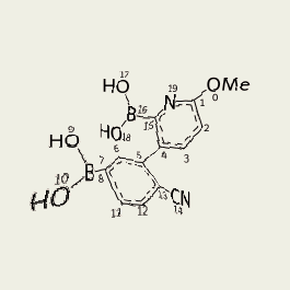 COc1ccc(-c2cc(B(O)O)ccc2C#N)c(B(O)O)n1